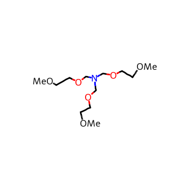 COCCOCN(COCCOC)COCCOC